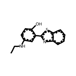 CCNc1ccc(O)c(-c2nc3ccccc3s2)c1